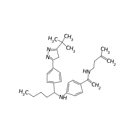 C=C(C)CCNC(=C)c1ccc(NC(CCCC)c2ccc(C3=NN=C(C(C)(C)C)C3)cc2)cc1